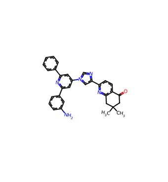 CC1(C)CC(=O)c2ccc(-c3cn(-c4cc(-c5ccccc5)nc(-c5cccc(N)c5)c4)cn3)nc2C1